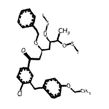 CCOc1ccc(Cc2cc(C(=O)C[C@H](CC(OSI)C(C)OSI)OCc3ccccc3)ccc2Cl)cc1